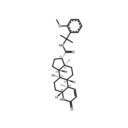 COc1ccccc1C(C)(C)NC(=O)[C@H]1CC[C@H]2[C@@H]3CC[C@H]4NC(=O)C=C[C@]4(C)[C@H]3CC[C@]12C